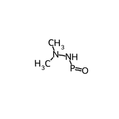 CN(C)NP=O